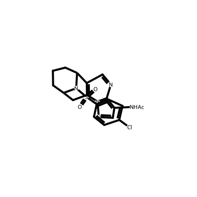 CC(=O)Nc1cnn2c3c(cnc12)C1CCCC(C3)N1S(=O)(=O)c1ccc(Cl)cc1